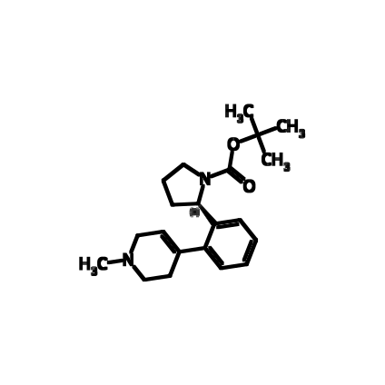 CN1CC=C(c2ccccc2[C@H]2CCCN2C(=O)OC(C)(C)C)CC1